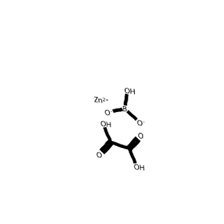 O=C(O)C(=O)O.[O-]B([O-])O.[Zn+2]